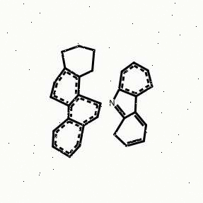 C1=CCC2=Nc3ccccc3C2=C1.c1ccc2c(c1)ccc1c3c(ccc12)CCCC3